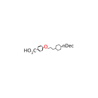 CCCCCCCCCCC1CCC(CCCOc2ccc(C(=O)O)cc2)CC1